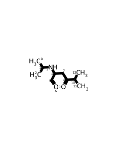 CC(C)NC(C=O)CC(=O)C(C)C